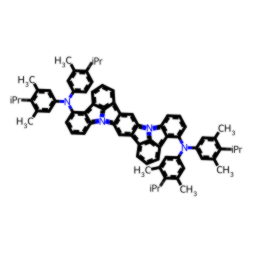 Cc1cc(N(c2cc(C)c(C(C)C)c(C)c2)c2cccc3c2c2cccc4c5cc6c(cc5n3c42)c2cccc3c4c(N(c5cc(C)c(C(C)C)c(C)c5)c5cc(C)c(C(C)C)c(C)c5)cccc4n6c23)ccc1C(C)C